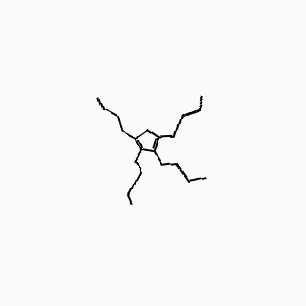 CCCCC1=C(CCCC)C(CCCC)=C(CCCC)C1